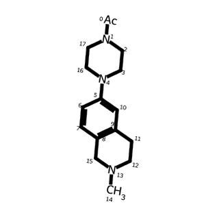 CC(=O)N1CCN(c2ccc3c(c2)CCN(C)C3)CC1